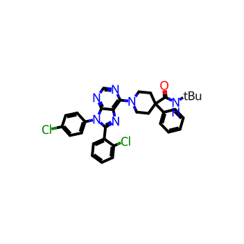 CC(C)(C)NC(=O)C1(c2ccccc2)CCN(c2ncnc3c2nc(-c2ccccc2Cl)n3-c2ccc(Cl)cc2)CC1